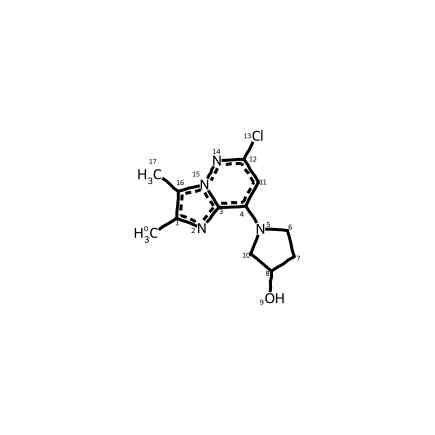 Cc1nc2c(N3CCC(O)C3)cc(Cl)nn2c1C